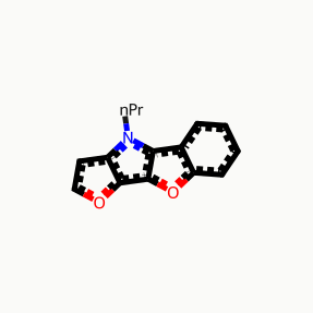 CCCn1c2ccoc2c2oc3ccccc3c21